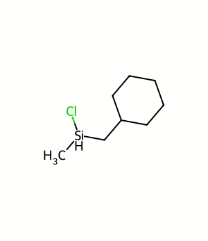 C[SiH](Cl)CC1CCCCC1